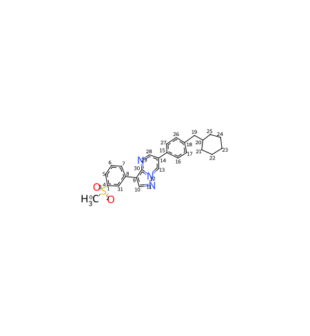 CS(=O)(=O)c1cccc(-c2cnn3cc(-c4ccc(CC5CCCCC5)cc4)cnc23)c1